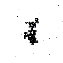 CCC/C(=N\NC=O)c1ccc(N2CC3CC(C2)C3(F)F)c(C(F)(F)F)c1